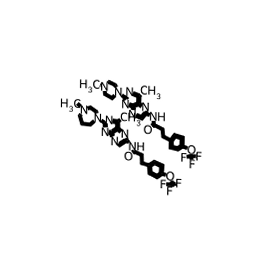 Cc1nc(N2CCCN(C)CC2)nc2ncc(NC(=O)CCc3ccc(OC(F)(F)F)cc3)nc12.Cc1nc(N2CCN(C)CC2)nc2ncc(NC(=O)CCc3ccc(OC(F)(F)F)cc3)nc12